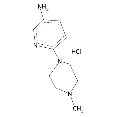 CN1CCN(c2ccc(N)cn2)CC1.Cl